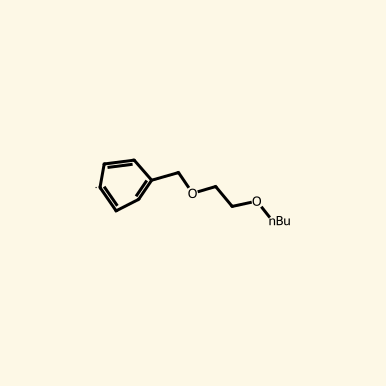 CCCCOCCOCc1cc[c]cc1